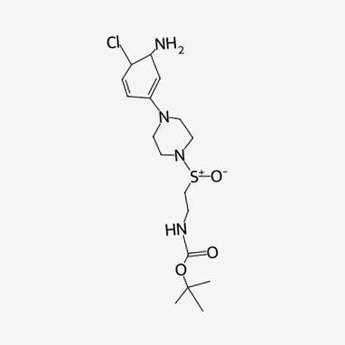 CC(C)(C)OC(=O)NCC[S+]([O-])N1CCN(C2=CC(N)C(Cl)C=C2)CC1